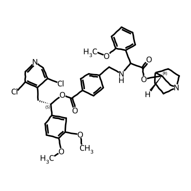 COc1ccc([C@H](Cc2c(Cl)cncc2Cl)OC(=O)c2ccc(CNC(C(=O)O[C@H]3CN4CCC3CC4)c3ccccc3OC)cc2)cc1OC